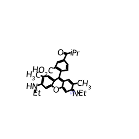 CC/N=c1/cc2oc3cc(NCC)c(C)cc3c(-c3ccc(C(=O)C(C)C)cc3C(=O)O)c-2cc1C